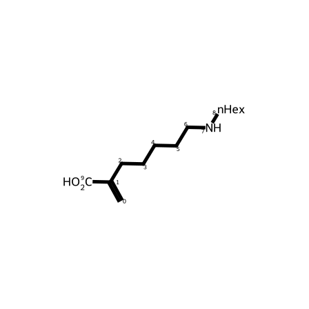 C=C(CCCCCNCCCCCC)C(=O)O